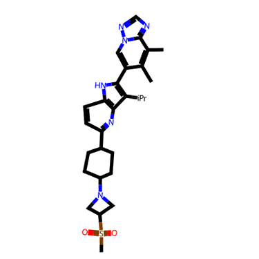 Cc1c(-c2[nH]c3ccc(C4CCC(N5CC(S(C)(=O)=O)C5)CC4)nc3c2C(C)C)cn2ncnc2c1C